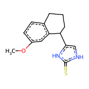 COc1ccc2c(c1)C(c1c[nH]c(=S)[nH]1)CCC2